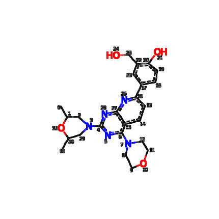 CC1CN(c2nc(N3CCOCC3)c3ccc(-c4ccc(O)c(CO)c4)nc3n2)CC(C)O1